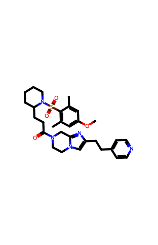 COc1cc(C)c(S(=O)(=O)N2CCCCC2CCC(=O)N2CCn3cc(CCc4ccncc4)nc3C2)c(C)c1